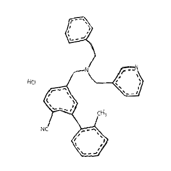 Cc1ccccc1-c1cc(CN(Cc2ccccc2)Cc2cccnc2)ccc1C#N.Cl